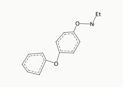 CC[N]Oc1ccc(Oc2ccccc2)cc1